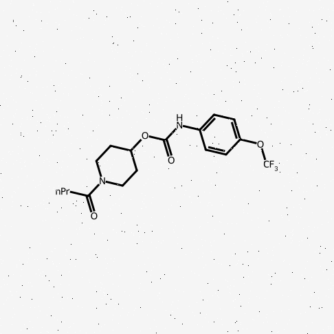 CCCC(=O)N1CCC(OC(=O)Nc2ccc(OC(F)(F)F)cc2)CC1